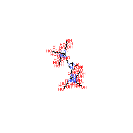 CN(CC(=O)O)C1(C)CN(CCCC(=O)NCC(CCC(=O)C(O)C(O)C(O)C(O)CO)(CNC(=O)C(O)C(O)C(O)C(O)CO)CNC(=O)C(O)C(O)C(O)C(O)CO)CCN([C@H](CCC(=O)NCC(CNC(=O)C(O)C(O)C(O)C(O)CO)(CNC(=O)C(O)C(O)C(O)C(O)CO)CNC(=O)C(O)C(O)C(O)C(O)CO)C(=O)O)C1